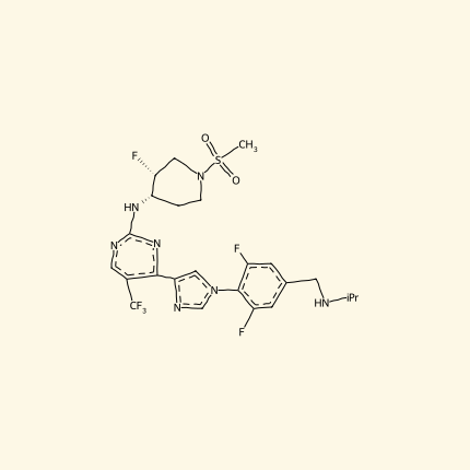 CC(C)NCc1cc(F)c(-n2cnc(-c3nc(N[C@H]4CCN(S(C)(=O)=O)C[C@H]4F)ncc3C(F)(F)F)c2)c(F)c1